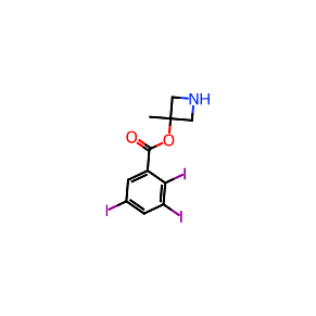 CC1(OC(=O)c2cc(I)cc(I)c2I)CNC1